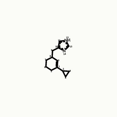 C1=C(C2CC2)CCCC1Cc1c[nH]cn1